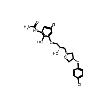 NC(=O)Nc1cc(Cl)cc(OC[C@@H](O)CN2C[C@@H](Oc3ccc(Cl)cc3)CO2)c1O